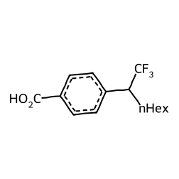 CCCCCCC(c1ccc(C(=O)O)cc1)C(F)(F)F